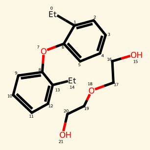 CCc1ccccc1Oc1ccccc1CC.OCCOCCO